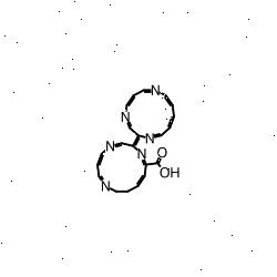 O=C(O)C1=NC(=C2C=NC=CC=NC=CC=CC=N2)C=NC=CC=NCCC=C1